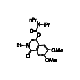 CCCN(C(=O)Oc1cn(CC)c(=O)c2cc(OC)c(OC)cc12)C(C)C